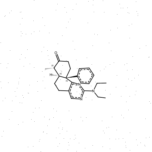 CCN(CC)c1ncc2c(n1)[C@@]1(c3ccccc3)CCC(=O)[C@@H](C)[C@@H]1CC2